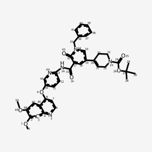 COc1cc2nccc(Oc3ccc(NC(=O)c4cc(C5=CCN(C(=O)OC(C)(C)C)CC5)cn(Cc5ccccc5)c4=O)nc3)c2cc1OC